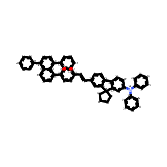 C(=C\c1ccc2c(c1)C1(CCCC1)c1cc(N(c3ccccc3)c3ccccc3)ccc1-2)/c1ccc(-c2cccc3c(-c4ccccc4)ccc(-c4ccccc4)c23)cc1